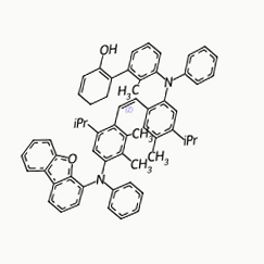 Cc1cc(/C=C\c2c(C(C)C)cc(N(c3ccccc3)c3cccc4c3oc3ccccc34)c(C)c2C)c(N(c2ccccc2)c2cccc(C3=C(O)C=CCC3)c2C)cc1C(C)C